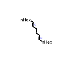 CCCCCC/C=C/CC/C=C/CCCCCC